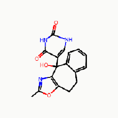 Cc1nc2c(o1)CCc1ccccc1C2(O)c1c[nH]c(=O)[nH]c1=O